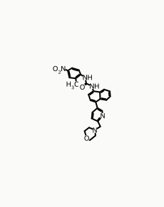 Cc1cc([N+](=O)[O-])ccc1NC(=O)Nc1ccc(-c2ccc(CN3CCOCC3)nc2)c2ccccc12